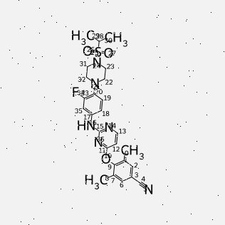 Cc1cc(C#N)cc(C)c1Oc1ccnc(Nc2ccc(N3CCN(S(=O)(=O)C(C)C)CC3)c(F)c2)n1